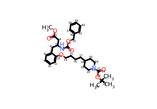 COC(=O)CC(Cc1ccccc1OCCCCC1CCN(C(=O)OC(C)(C)C)CC1)NC(=O)OCc1ccccc1